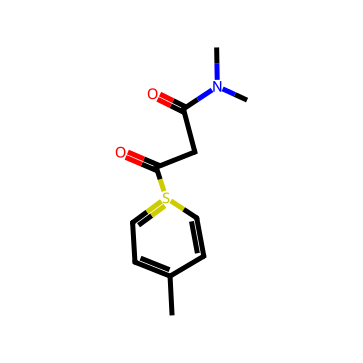 CC1=CC=S(C(=O)CC(=O)N(C)C)C=C1